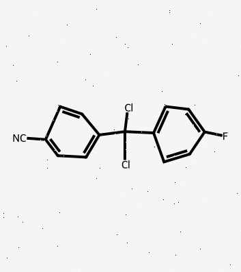 N#Cc1ccc(C(Cl)(Cl)c2ccc(F)cc2)cc1